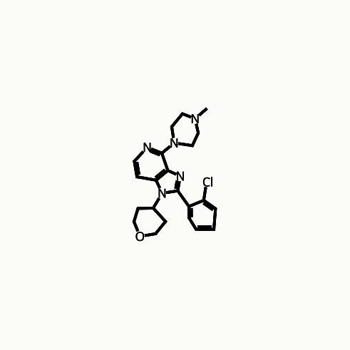 CN1CCN(c2nccc3c2nc(-c2ccccc2Cl)n3C2CCOCC2)CC1